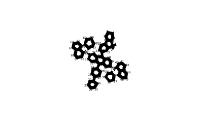 CC1(C)c2ccccc2-c2ccc(-c3c4c(c(-c5ccc(-c6ccccc6)cc5)c5cc(N(C6=CCCC=C6)c6cccc7ccccc67)ccc35)=CCC(N(c3ccccc3)c3cccc5ccccc35)C=4)cc21